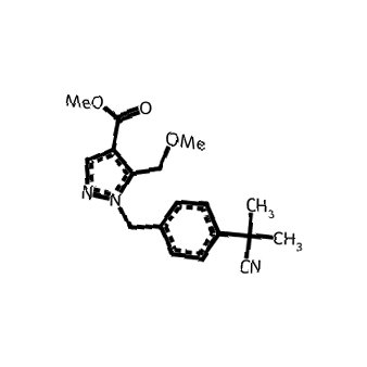 COCc1c(C(=O)OC)cnn1Cc1ccc(C(C)(C)C#N)cc1